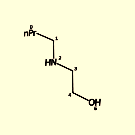 CCCCNCCO